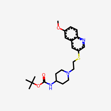 COc1ccc2ncc(SCCN3CCC(NC(=O)OC(C)(C)C)CC3)cc2c1